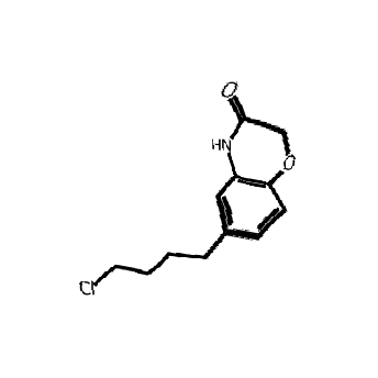 O=C1COc2ccc(CCCCCl)cc2N1